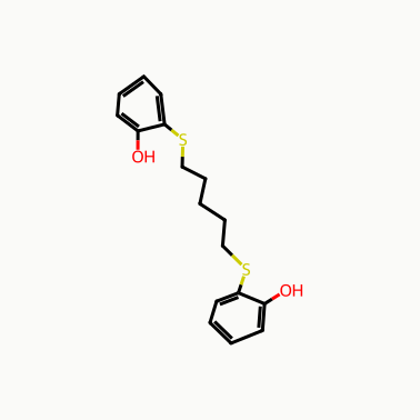 Oc1ccccc1SCCCCCSc1ccccc1O